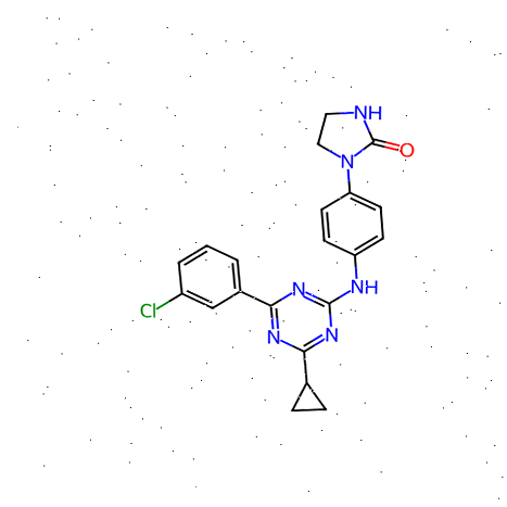 O=C1NCCN1c1ccc(Nc2nc(-c3cccc(Cl)c3)nc(C3CC3)n2)cc1